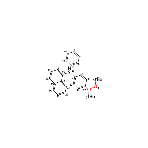 CC(C)(C)OOC(C)(C)C.c1ccc([SiH](c2ccccc2)c2cccc3ccccc23)cc1